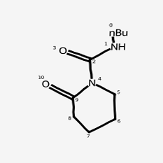 CCCCNC(=O)N1CCCCC1=O